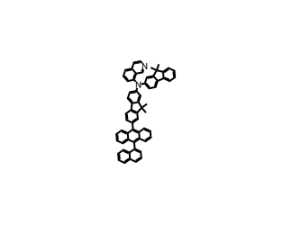 CC1(C)c2ccccc2-c2ccc(N(c3ccc4c(c3)C(C)(C)c3cc(-c5c6ccccc6c(-c6cccc7ccccc67)c6ccccc56)ccc3-4)c3cccc4ccncc34)cc21